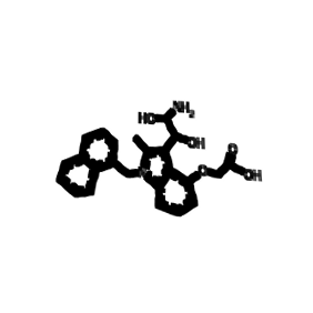 Cc1c(C(O)C(N)O)c2c(OCC(=O)O)cccc2n1Cc1cccc2ccccc12